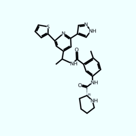 Cc1ccc(NC(=O)[C@H]2CCCCN2)cc1C(=O)NC(C)c1cc(-c2cn[nH]c2)nc(-c2cccs2)c1